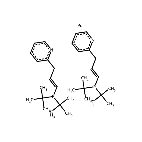 CC(C)(C)P(C=CCc1ccccn1)C(C)(C)C.CC(C)(C)P(C=CCc1ccccn1)C(C)(C)C.[Pd]